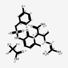 Cc1ccc(NS(=O)(=O)Cc2cccc(F)c2)c(=O)n1C(C(N)=O)C(C)ON=C(N)N.O=C(O)C(F)(F)F